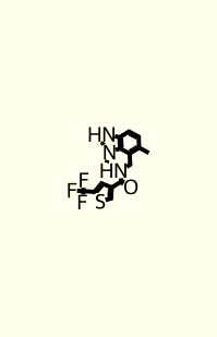 Cc1ccc2c(c1CNC(=O)c1csc(C(F)(F)F)c1)N(C)CN2